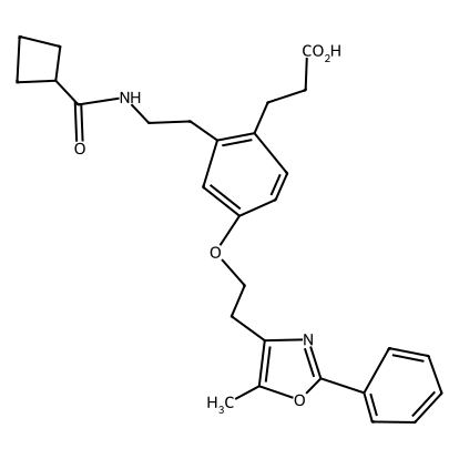 Cc1oc(-c2ccccc2)nc1CCOc1ccc(CCC(=O)O)c(CCNC(=O)C2CCC2)c1